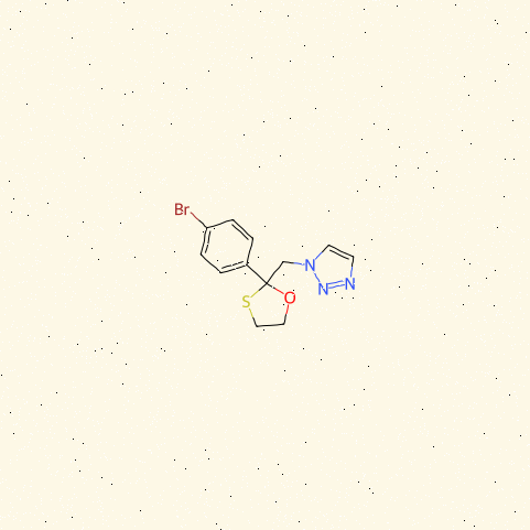 Brc1ccc(C2(Cn3ccnn3)OCCS2)cc1